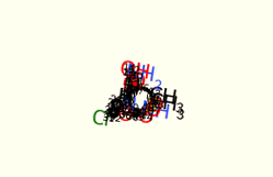 C[C@@H]1[C@@H](C)CCC[C@H](C2OCC(N)(CO)CO2)[C@@H]2CC[C@H]2CN2C[C@@]3(CCCc4cc(Cl)ccc43)COc3ccc(cc32)C(=O)NS1(=O)=O